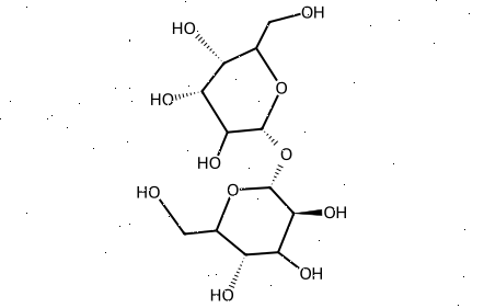 OCC1O[C@H](O[C@H]2OC(CO)[C@@H](O)[C@@H](O)C2O)[C@@H](O)C(O)[C@@H]1O